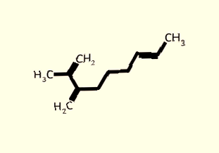 C=C(C)C(=C)CCC/C=C/C